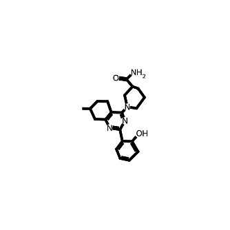 CC1CCc2c(nc(-c3ccccc3O)nc2N2CCCC(C(N)=O)C2)C1